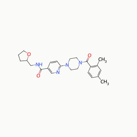 Cc1ccc(C(=O)N2CCN(c3ccc(C(=O)NCC4CCCO4)cn3)CC2)c(C)c1